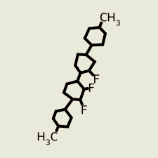 CC1CCC(C2CCC(C3CCC(C4CCC(C)CC4)C(F)C3F)C(F)C2)CC1